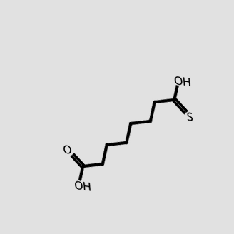 O=C(O)CCCCCCC(O)=S